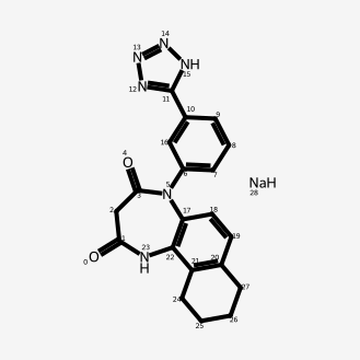 O=C1CC(=O)N(c2cccc(-c3nnn[nH]3)c2)c2ccc3c(c2N1)CCCC3.[NaH]